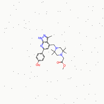 COC(=O)CN1CC(C)(C)N(Cc2cc(-c3ccc(O)cc3)nc3[nH]nc(C)c23)CC1(C)C